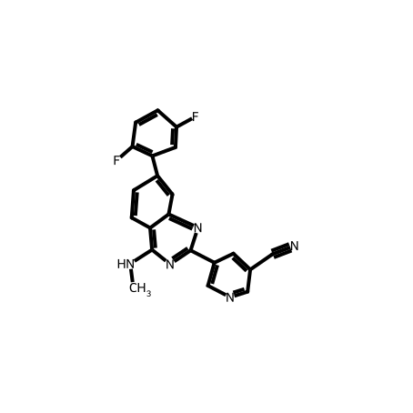 CNc1nc(-c2cncc(C#N)c2)nc2cc(-c3cc(F)ccc3F)ccc12